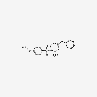 CCCCOc1ccc(S(=O)(=O)C2(C(=O)OCC)CCN(Cc3ccccc3)CC2)cc1